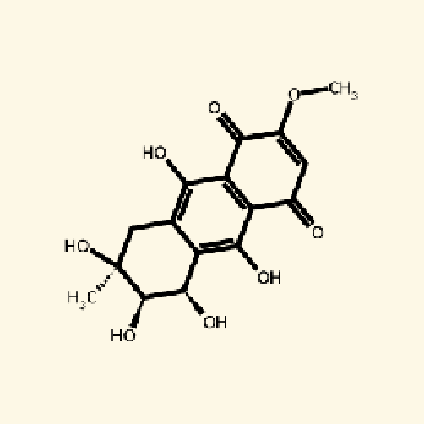 COC1=CC(=O)c2c(O)c3c(c(O)c2C1=O)C[C@](C)(O)[C@H](O)[C@@H]3O